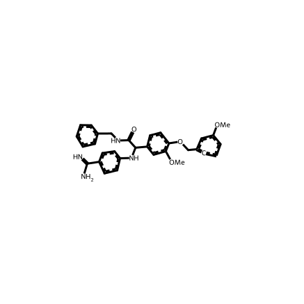 COc1cccc(COc2ccc(C(Nc3ccc(C(=N)N)cc3)C(=O)NCc3ccccc3)cc2OC)c1